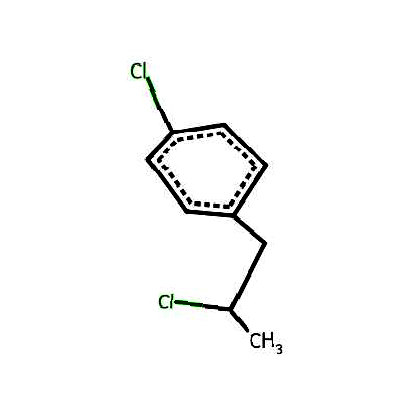 CC(Cl)Cc1ccc(Cl)cc1